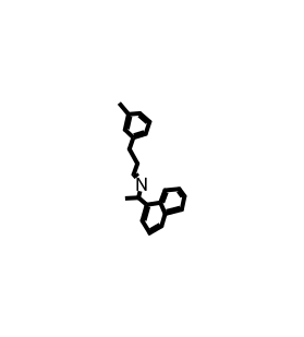 Cc1cccc(CC/C=N/C(C)c2cccc3ccccc23)c1